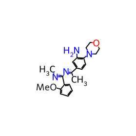 C/N=C(\N=C(/C)c1ccc(N2CCOCC2)c(N)c1)c1ccccc1OC